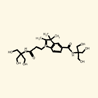 CC1=[N+](CCC(=O)NC(CO)(CO)CO)c2ccc(C(=O)NC(CO)(CO)CO)cc2C1(C)C